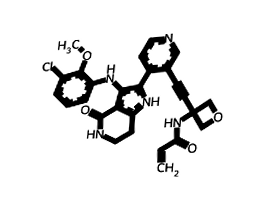 C=CC(=O)NC1(C#Cc2cnccc2-c2[nH]c3c(c2Nc2cccc(Cl)c2OC)C(=O)NCC3)COC1